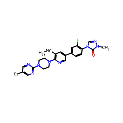 CCc1cnc(N2CCN(c3ncc(-c4ccc(-n5cnn(C)c5=O)c(F)c4)cc3C#N)[C@@H](C)C2)nc1